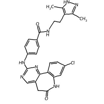 Cc1n[nH]c(C)c1CCNC(=O)c1ccc(Nc2ncc3c(n2)-c2ccc(Cl)cc2NC(=O)C3)cc1